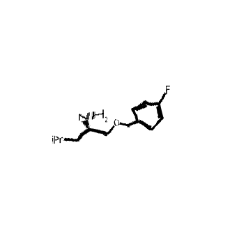 CC(C)C[C@@H](N)COCc1ccc(F)cc1